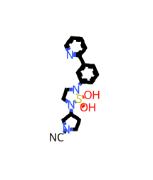 N#CN1CCC(N2CCN(c3cccc(-c4ccccn4)c3)S2(O)O)C1